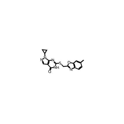 Cc1ccc2nc(CSc3nc4c(cnn4C4CC4)c(=O)[nH]3)oc2c1